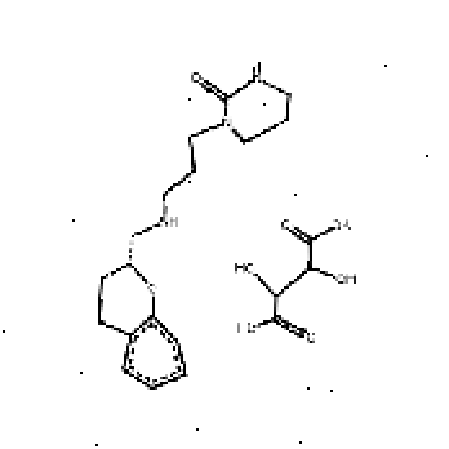 O=C(O)C(O)C(O)C(=O)O.O=C1NCCCN1CCCNC[C@H]1CCc2ccccc2O1